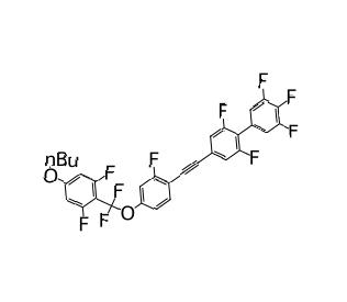 CCCCOc1cc(F)c(C(F)(F)Oc2ccc(C#Cc3cc(F)c(-c4cc(F)c(F)c(F)c4)c(F)c3)c(F)c2)c(F)c1